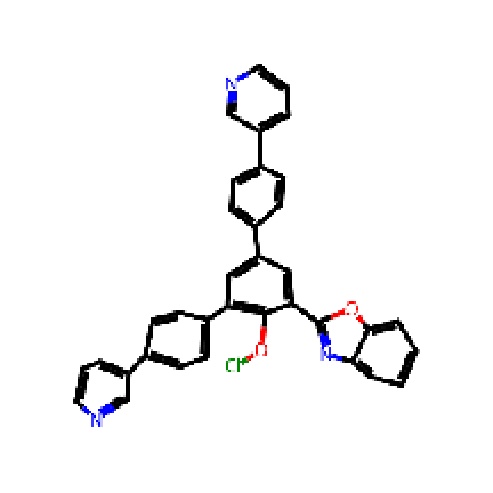 ClOc1c(-c2ccc(-c3cccnc3)cc2)cc(-c2ccc(-c3cccnc3)cc2)cc1-c1nc2ccccc2o1